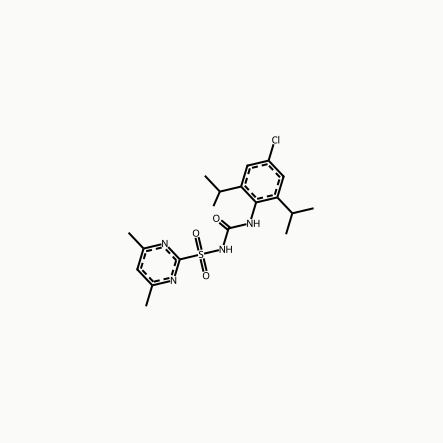 Cc1cc(C)nc(S(=O)(=O)NC(=O)Nc2c(C(C)C)cc(Cl)cc2C(C)C)n1